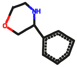 [CH]1CNC(c2ccccc2)CO1